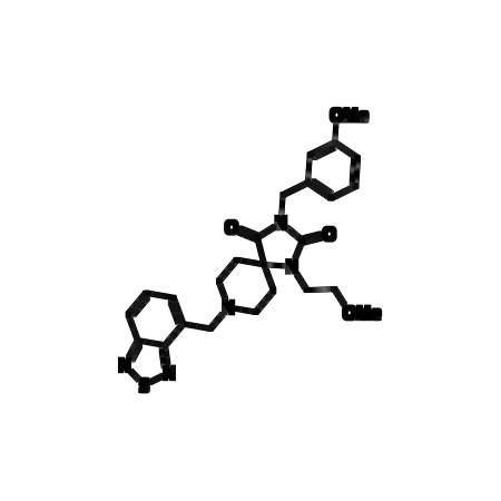 COCCN1C(=O)N(Cc2cccc(OC)c2)C(=O)C12CCN(Cc1cccc3nsnc13)CC2